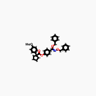 COc1ccc(C2(C(=O)Oc3ccc(/C(=N/OCc4ccccc4)OCc4ccccc4)cc3)CCCC2)cc1